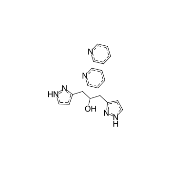 OC(Cc1cc[nH]n1)Cc1cc[nH]n1.c1ccncc1.c1ccncc1